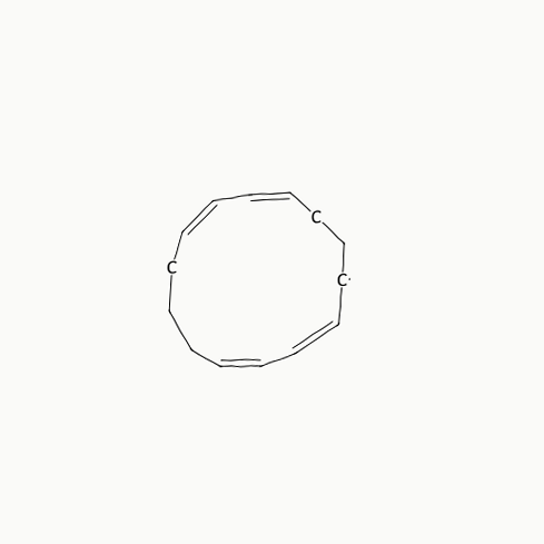 [CH]1C=CC=CCCCC=CC=CCC1